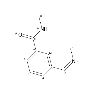 C/N=C\c1cccc(C(=O)NC)c1